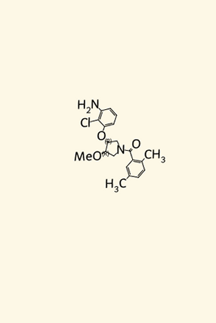 CO[C@@H]1CN(C(=O)c2cc(C)ccc2C)C[C@H]1Oc1cccc(N)c1Cl